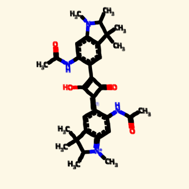 CC(=O)Nc1cc2c(cc1C1=C(O)/C(=c3\cc4c(cc3NC(C)=O)=[N+](C)C(C)C4(C)C)C1=O)C(C)(C)C(C)N2C